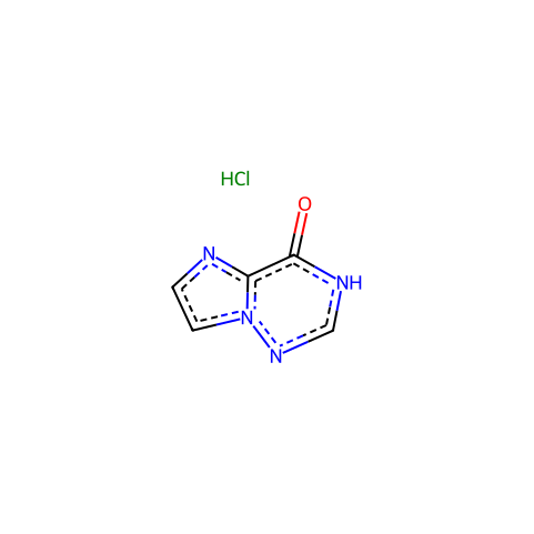 Cl.O=c1[nH]cnn2ccnc12